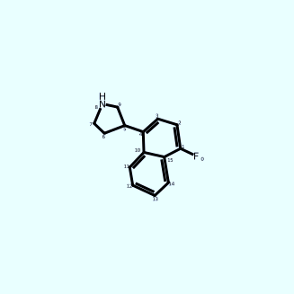 Fc1ccc(C2CCNC2)c2ccccc12